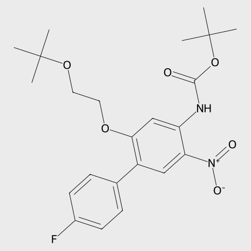 CC(C)(C)OCCOc1cc(NC(=O)OC(C)(C)C)c([N+](=O)[O-])cc1-c1ccc(F)cc1